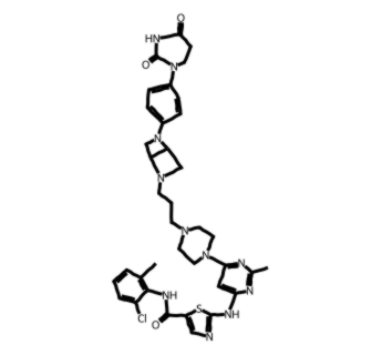 Cc1nc(Nc2ncc(C(=O)Nc3c(C)cccc3Cl)s2)cc(N2CCN(CCCN3CC4C3CN4c3ccc(N4CCC(=O)NC4=O)cc3)CC2)n1